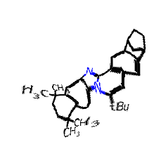 CC(C)(C)c1cc2cc3c(cc2c2nc4cc5c(cc4n12)C(C)(C)CCC5(C)C)C1CCC3C1